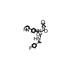 O=C(N[C@@H](CCCN[C@@H]1C[C@H]1c1ccc(F)cc1)C(=O)N1CC2(COC2)C1)c1ccc(-c2cccnn2)cc1